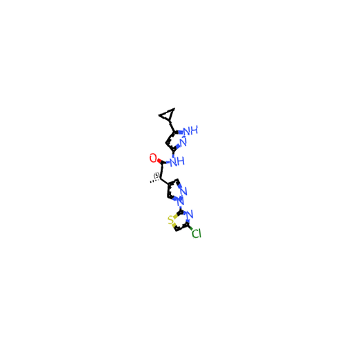 C[C@H](C(=O)Nc1cc(C2CC2)[nH]n1)c1cnn(-c2nc(Cl)cs2)c1